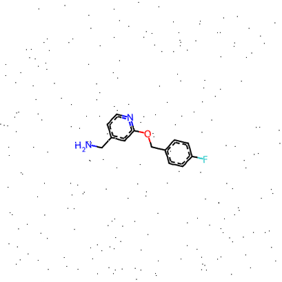 NCc1ccnc(OCc2ccc(F)cc2)c1